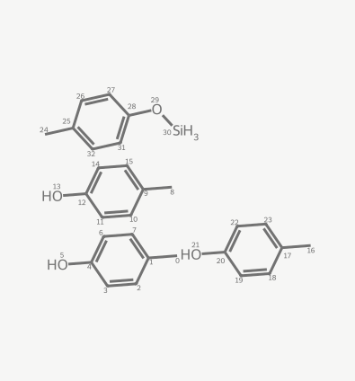 Cc1ccc(O)cc1.Cc1ccc(O)cc1.Cc1ccc(O)cc1.Cc1ccc(O[SiH3])cc1